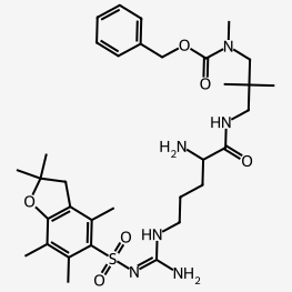 Cc1c(C)c(S(=O)(=O)N=C(N)NCCCC(N)C(=O)NCC(C)(C)CN(C)C(=O)OCc2ccccc2)c(C)c2c1OC(C)(C)C2